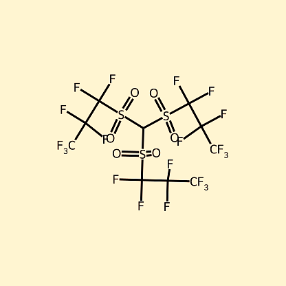 O=S(=O)(C(S(=O)(=O)C(F)(F)C(F)(F)C(F)(F)F)S(=O)(=O)C(F)(F)C(F)(F)C(F)(F)F)C(F)(F)C(F)(F)C(F)(F)F